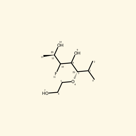 CC(C)[C@H](OCCO)C(O)C(F)[C@@H](C)O